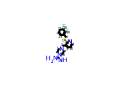 N=C(N)N1CCN(Cc2cccnc2SCC2=C(F)C(F)CC=C2)CC1